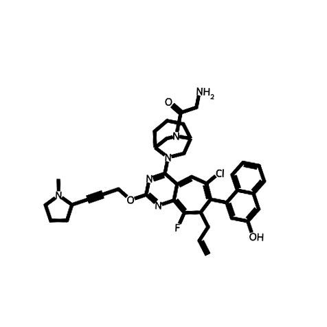 C=CCC1C(c2cc(O)cc3ccccc23)=C(Cl)C=c2c(N3CC4CCCC3CN4C(=O)CN)nc(OCC#CC3CCCN3C)nc2=C1F